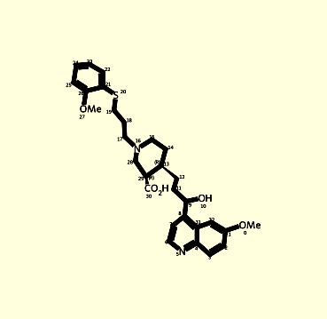 COc1ccc2nccc(C(O)CC[C@@H]3CCN(CCCSc4ccccc4OC)C[C@@H]3C(=O)O)c2c1